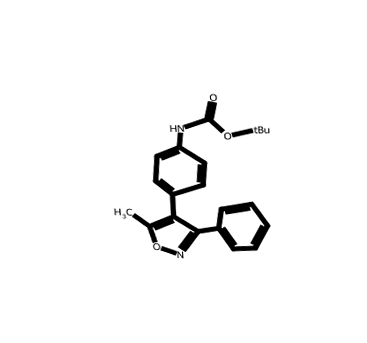 Cc1onc(-c2ccccc2)c1-c1ccc(NC(=O)OC(C)(C)C)cc1